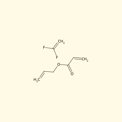 C=C(F)F.C=CCOC(=O)C=C